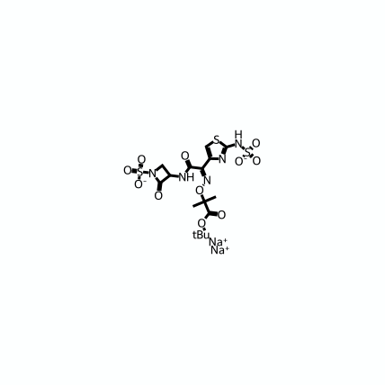 CC(C)(C)OC(=O)C(C)(C)ON=C(C(=O)NC1CN(S(=O)(=O)[O-])C1=O)c1csc(NS(=O)(=O)[O-])n1.[Na+].[Na+]